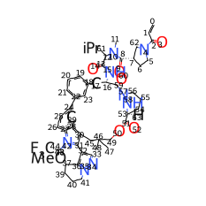 C=CC(=O)N1CC[C@H](C(=O)N(C)C(C(=O)N[C@H]2Cc3cccc(c3)-c3ccc4c(c3)c(c(-c3cnn5c3[C@@H](OC)CCC5)n4CC(F)(F)F)CC(C)(C)COC(=O)[C@@H]3CCCN(N3)C2=O)C(C)C)C1